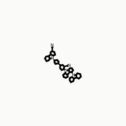 N#Cc1ccc2c(c1)c1ccccc1n2-c1ccc(-c2ccc(-n3c4ccccc4c4c(-n5c6ccccc6c6ccccc65)cccc43)c(C#N)c2)cc1